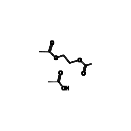 CC(=O)O.CC(=O)OCCOC(C)=O